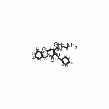 Cc1cc(C(=O)NCCN)c(OCc2ccccc2)c(=O)n1Cc1ccccc1